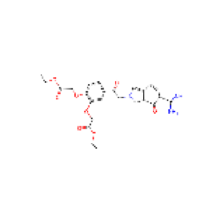 CCOC(=O)COc1ccc(C(=O)CN2C=C3C=CC(C(=N)N)C(=O)C3C2)cc1OCC(=O)OCC